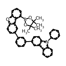 CC1(C)OB(c2cccc3oc4ccc(-c5cccc(-c6ccc7c(c6)c6ccccc6n7-c6ccccc6)c5)cc4c23)OC1(C)C